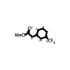 COC(=O)CC1CCCC(C(F)(F)F)C1